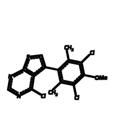 COc1c(Cl)c(C)c(-c2csc3ncnc(Cl)c23)c(C)c1Cl